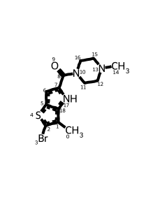 Cc1c(Br)sc2cc(C(=O)N3CCN(C)CC3)[nH]c12